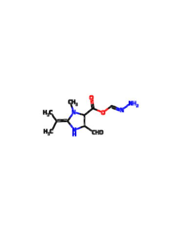 CC(C)=C1NC(C=O)C(C(=O)OC=NN)N1C